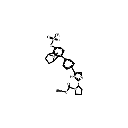 CN1C2CCC1c1c(-c3ccc(-c4cnc([C@@H]5CCCN5C(=O)OC(C)(C)C)[nH]4)cc3)ccc(OS(=O)(=O)C(F)(F)F)c12